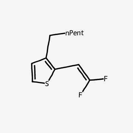 CCCCCCc1ccsc1C=C(F)F